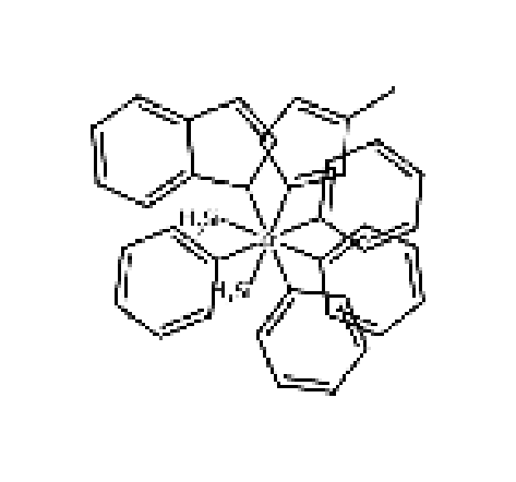 CC1=CC[C]([Zr]([SiH3])([SiH3])([c]2ccccc2)([c]2ccccc2)([c]2ccccc2)([c]2ccccc2)[CH]2C=Cc3ccccc32)=C1